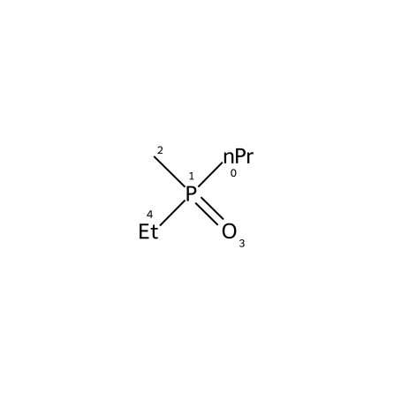 CCCP(C)(=O)CC